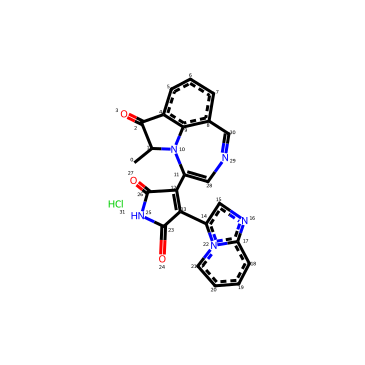 CC1C(=O)c2cccc3c2N1C(C1=C(c2cnc4ccccn24)C(=O)NC1=O)=CN=C3.Cl